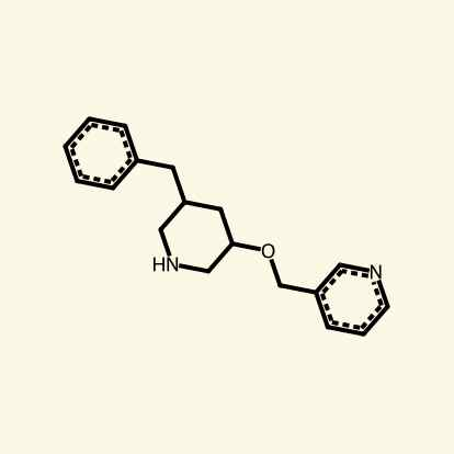 c1ccc(CC2CNCC(OCc3cccnc3)C2)cc1